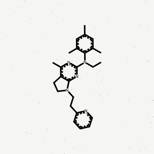 CCN(c1nc(C)c2c(n1)N(CCc1ccccn1)CC2)c1c(C)cc(C)cc1C